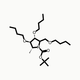 CCCCOCC1[C@@H](OCCCC)[C@H](OCCCC)[C@@H](C)N1C(=O)OC(C)(C)C